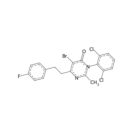 Cc1nc(CCc2ccc(F)cc2)c(Br)c(=O)n1-c1c(Cl)cccc1Cl